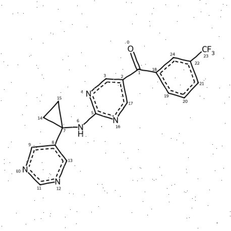 O=C(c1cnc(NC2(c3cncnc3)CC2)nc1)c1cccc(C(F)(F)F)c1